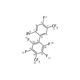 CC(C)c1cc(F)c(C(F)(F)F)cc1-c1c(F)c(F)c(C(F)(F)F)c(F)c1F